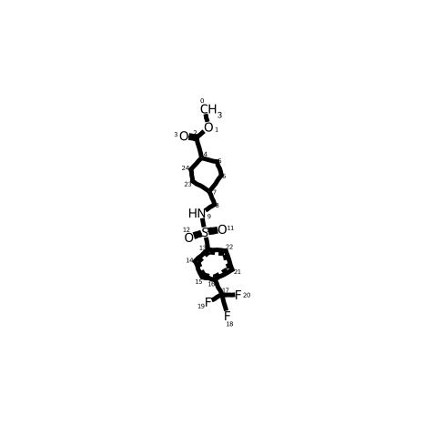 COC(=O)C1CCC(CNS(=O)(=O)c2ccc(C(F)(F)F)cc2)CC1